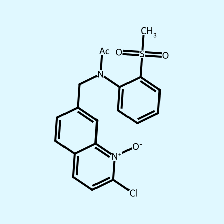 CC(=O)N(Cc1ccc2ccc(Cl)[n+]([O-])c2c1)c1ccccc1S(C)(=O)=O